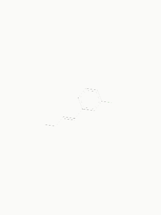 CC/C=C/c1cccc(Cl)c1